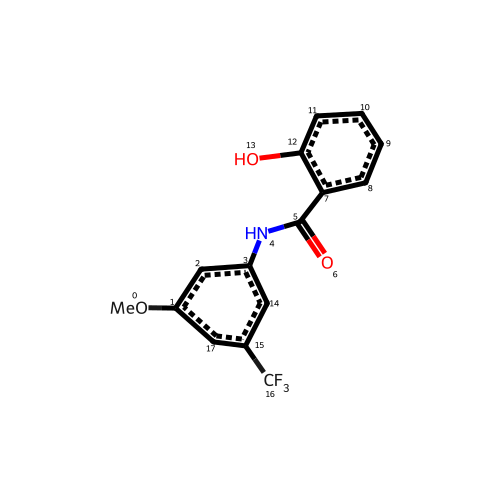 COc1cc(NC(=O)c2c[c]ccc2O)cc(C(F)(F)F)c1